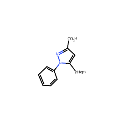 CCCCCCCc1cc(C(=O)O)nn1-c1ccccc1